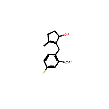 COc1cc(F)ccc1CC1=C(C)CCC1O